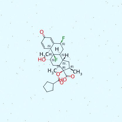 C[C@@H]1C[C@H]2[C@@H]3C[C@H](F)C4=CC(=O)C=C[C@]4(C)[C@@]3(F)[C@@H](O)C[C@]2(C)[C@@]1(OC(=O)C1CCCC1)C(=O)O